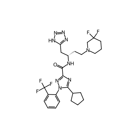 O=C(N[C@@H](CCN1CCCC(F)(F)C1)Cc1nnn[nH]1)c1nc(C2CCCC2)n(-c2ccccc2C(F)(F)F)n1